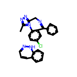 C1=Cc2ccccc2NN=C1.Cc1nnc2n1-c1ccc(Cl)cc1C(c1ccccc1)=NC2